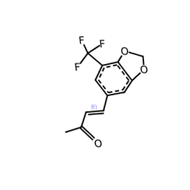 CC(=O)/C=C/c1cc2c(c(C(F)(F)F)c1)OCO2